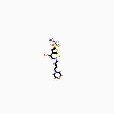 CC(C)(C)NS(=O)(=O)c1cc2c(s1)SN(CC=CCN1CCOCC1)CC2O